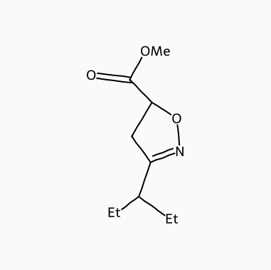 CCC(CC)C1=NOC(C(=O)OC)C1